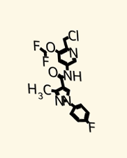 Cc1nn(-c2ccc(F)cc2)cc1C(=O)Nc1cnc(CCl)c(OC(F)F)c1